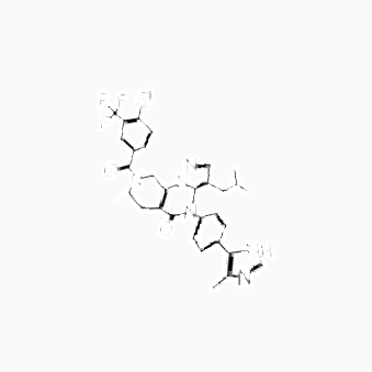 Cc1nc[nH]c1-c1ccc(-n2c(=O)c3c(n4ncc(CC(C)C)c24)CN(C(=O)c2ccc(Cl)c(C(F)(F)F)c2)[C@@H](C)C3)cc1